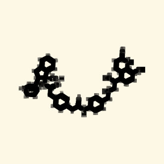 O=C(Cc1ccc(CC(=O)N[C@@]2(C(=O)O)c3ccccc3CC2C2CN3CCC2CC3)cc1)Nc1ccc(CNCC(O)c2ccc(O)c3[nH]c(=O)ccc23)cc1